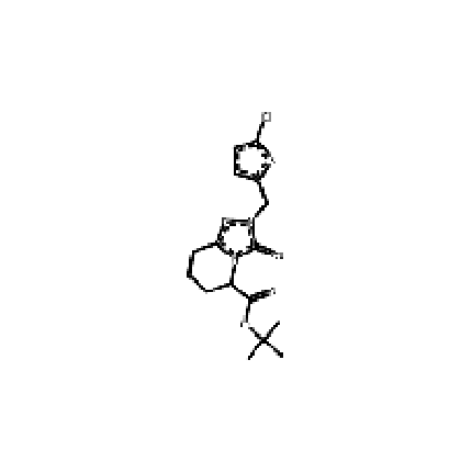 CC(C)(C)OC(=O)C1CCCc2nn(Cc3ccc(Cl)s3)c(=O)n21